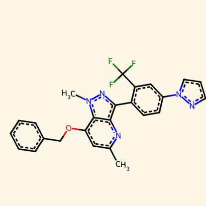 Cc1cc(OCc2ccccc2)c2c(n1)c(-c1ccc(-n3cccn3)cc1C(F)(F)F)nn2C